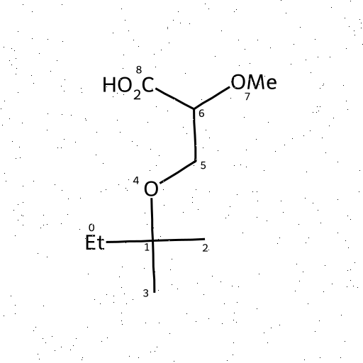 CCC(C)(C)OCC(OC)C(=O)O